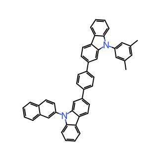 Cc1cc(C)cc(-n2c3ccccc3c3ccc(-c4ccc(-c5ccc6c7ccccc7n(-c7ccc8ccccc8c7)c6c5)cc4)cc32)c1